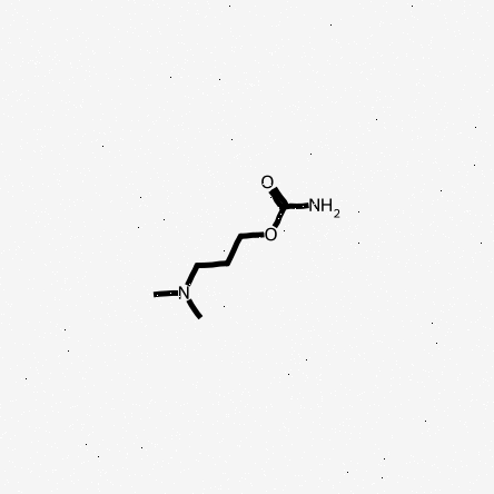 CN(C)CCCOC(N)=O